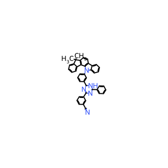 CC1(C)c2ccccc2-c2c1ccc1c3ccccc3n(-c3cccc(C4N=C(c5cccc(C#N)c5)N=C(c5ccccc5)N4)c3)c21